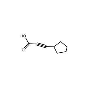 O=C(O)C#CC1CCCC1